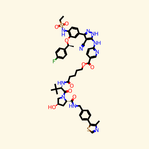 CCS(=O)(=O)Nc1ccc(-c2n[nH]c(Nc3ccc(C(=O)OCCCCC(=O)N[C@H](C(=O)N4C[C@H](O)C[C@H]4C(=O)NCc4ccc(-c5scnc5C)cc4)C(C)(C)C)cn3)c2C#N)cc1O[C@@H](C)c1ccc(F)cc1